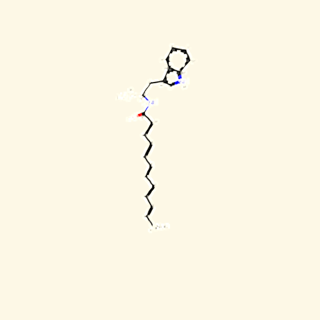 CCCCCCCCCC=CC=CC=CC=CC=CC(=O)N[C@@H](Cc1c[nH]c2ccccc12)C(=O)O